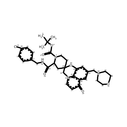 CC(C)(C)OC(=O)N1CCC2(CC1C(=O)NCc1ccc(Cl)cc1)Cn1ccc(=O)c3cc(CN4CCOCC4)cc(c31)O2